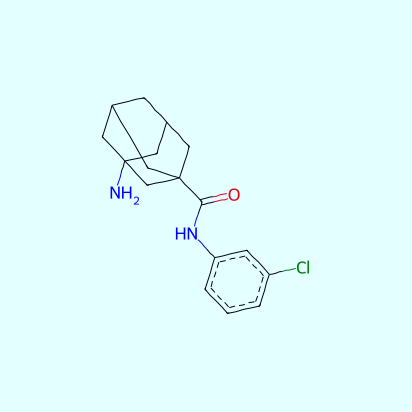 NC12CC3CC(C1)CC(C(=O)Nc1cccc(Cl)c1)(C3)C2